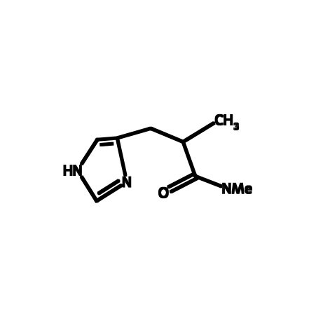 CNC(=O)C(C)Cc1c[nH]cn1